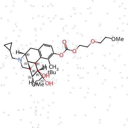 COCCOCCOC(=O)Oc1ccc2c(c1C)[C@]13CCN(CC4CC4)[C@H](C2)[C@]12CC[C@](OC)([C@@H]([C@](C)(O)C(C)(C)C)C2)[C@@H]3O